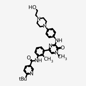 Cc1c(NC(=O)c2ccc(C(C)(C)C)nc2)cccc1-c1cn(C)c(=O)c(Nc2ccc(N3CCN(CCO)CC3)cc2)n1